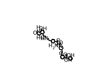 NC(C(=O)c1ccc(CCNC[C@H](O)c2ccc(O)c3[nH]c(=O)ccc23)cc1)C(=O)N1CCC(COc2cccc([C@](O)(C(=O)O)c3ccccc3)c2)CC1